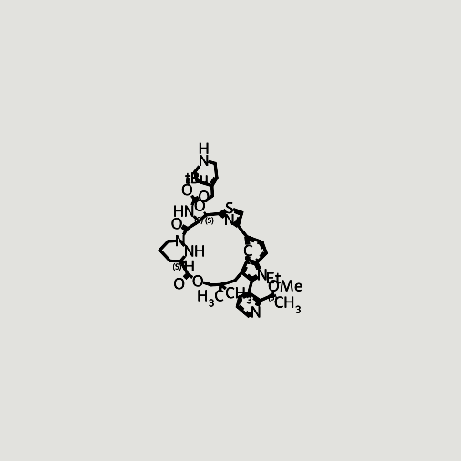 CCn1c(-c2cccnc2[C@H](C)OC)c2c3cc(ccc31)-c1csc(n1)[C@@H](OCC1=CCNCC1)[C@H](NC(=O)OC(C)(C)C)C(=O)N1CCC[C@H](N1)C(=O)OCC(C)(C)C2